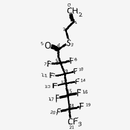 C=CCSC(=O)C(F)(F)C(F)(F)C(F)(F)C(F)(F)C(F)(F)C(F)(F)F